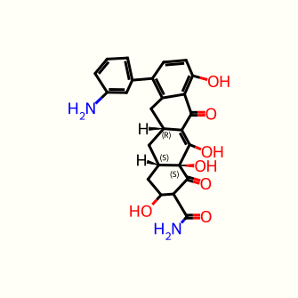 NC(=O)C1C(=O)[C@@]2(O)C(O)=C3C(=O)c4c(O)ccc(-c5cccc(N)c5)c4C[C@H]3C[C@H]2CC1O